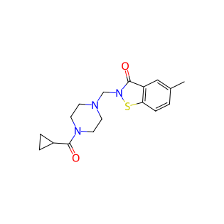 Cc1ccc2sn(CN3CCN(C(=O)C4CC4)CC3)c(=O)c2c1